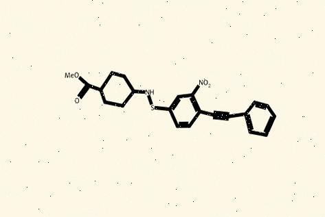 COC(=O)C1CCC(NSc2ccc(C#Cc3ccccc3)c([N+](=O)[O-])c2)CC1